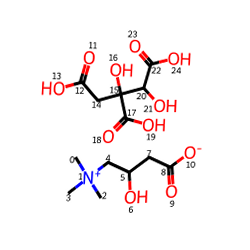 C[N+](C)(C)CC(O)CC(=O)[O-].O=C(O)CC(O)(C(=O)O)C(O)C(=O)O